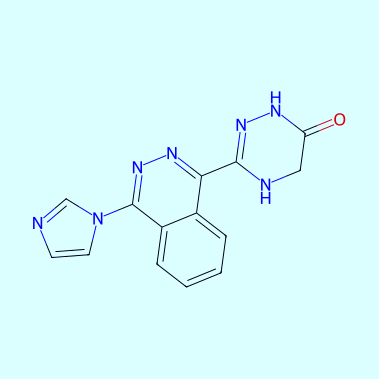 O=C1CNC(c2nnc(-n3ccnc3)c3ccccc23)=NN1